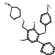 CC[C@H]1CC[C@H](CCc2c(F)cc(-c3ccccc3)c(Oc3ccc(C(F)(F)F)cc3)c2F)CC1